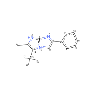 Cc1[nH]c2nc(-c3ccccc3)cn2c1C(C)(C)C